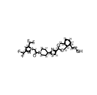 O=C(Cn1nc(C(F)F)cc1C(F)F)N1CCC(c2nc(C3OCc4cccc(C=NO)c4CO3)cs2)CC1